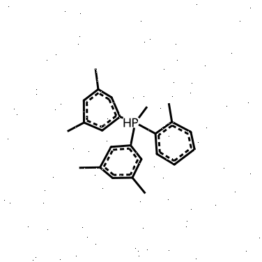 Cc1cc(C)cc([PH](C)(c2cc(C)cc(C)c2)c2ccccc2C)c1